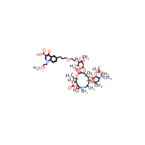 CC[C@H]1OC(=O)[C@H](C)[C@@H](O[C@H]2C[C@@](C)(OC)[C@@H](OCCOCCCc3ccc4c(c3)c(=O)c(C(=O)O)cn4CCOC)[C@H](C)O2)[C@H](C)[C@@H](O[C@@H]2O[C@H](C)C[C@H](N(C)C)[C@H]2OC(C)=O)[C@](C)(O)C[C@@H](C)CN(C)[C@H](C)[C@H]2OC(=O)O[C@@]21C